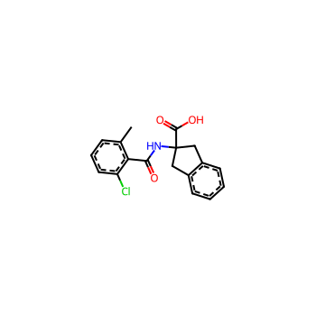 Cc1cccc(Cl)c1C(=O)NC1(C(=O)O)Cc2ccccc2C1